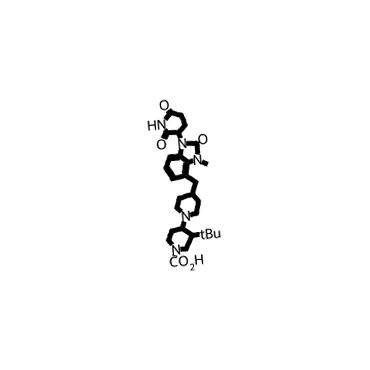 Cn1c(=O)n(C2CCC(=O)NC2=O)c2cccc(CC3CCN(C4CCN(C(=O)O)CC4C(C)(C)C)CC3)c21